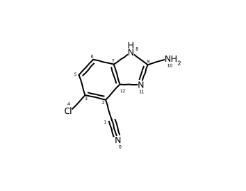 N#Cc1c(Cl)ccc2[nH]c(N)nc12